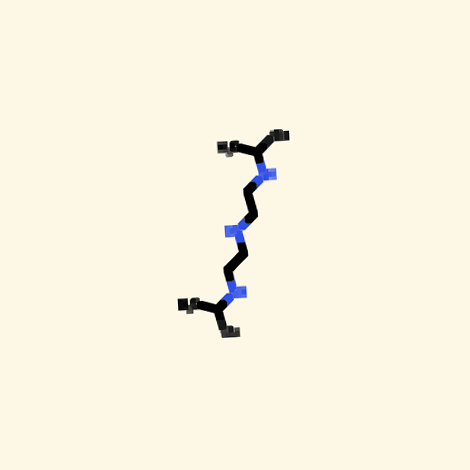 CC(NCCNCCNC(C)C(C)(C)C)C(C)(C)C